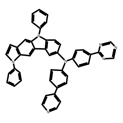 c1ccc(-n2ccc3cc4c(cc32)c2cc(N(c3ccc(-c5ccncc5)cc3)c3ccc(-c5ncncn5)cc3)ccc2n4-c2ccccc2)cc1